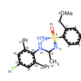 COCc1ccccc1S(N)(=O)=NC(C)Nc1c(C(C)C)cc(F)cc1C(C)C